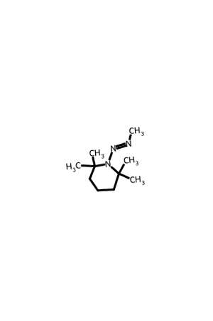 C/N=N/N1C(C)(C)CCCC1(C)C